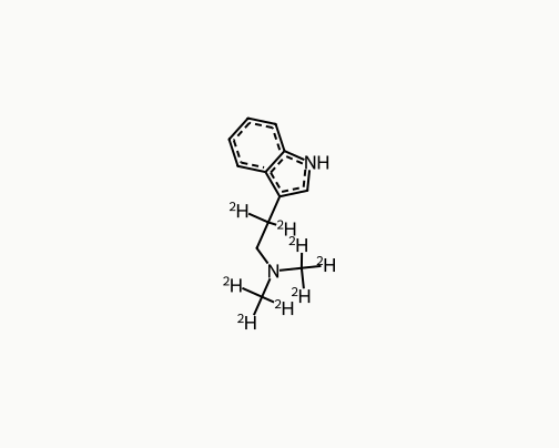 [2H]C([2H])(CN(C([2H])([2H])[2H])C([2H])([2H])[2H])c1c[nH]c2ccccc12